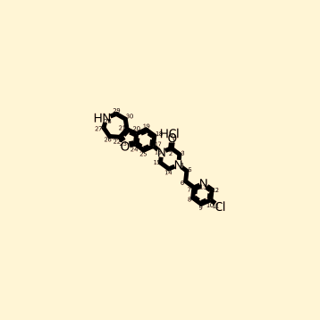 Cl.O=C1CN(CCc2ccc(Cl)cn2)CCN1c1ccc2c3c(oc2c1)CCNCC3